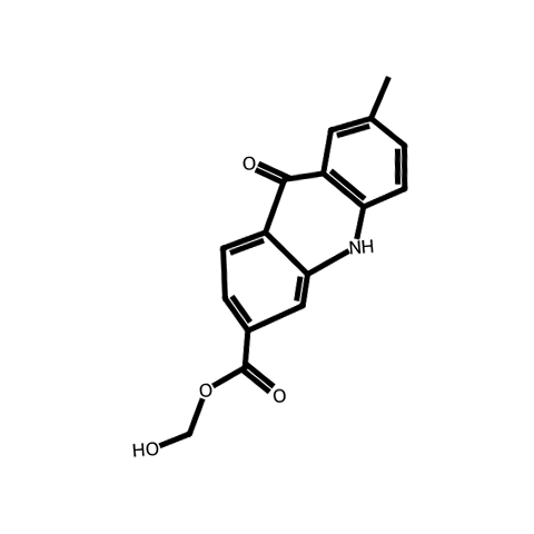 Cc1ccc2[nH]c3cc(C(=O)OCO)ccc3c(=O)c2c1